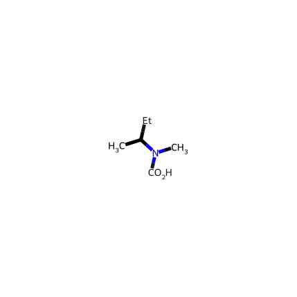 CCC(C)N(C)C(=O)O